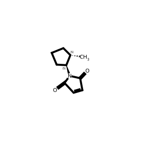 C[C@H]1CCC[C@@H]1N1C(=O)C=CC1=O